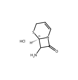 Cl.NC1C(=O)N2C=CCS[C@H]12